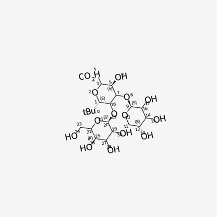 CC(C)(C)[C@@H]1OC(C(=O)O)[C@@H](O)C(O[C@@H]2OC[C@@H](O)C(O)C2O)C1O[C@@H]1OC(CO)[C@H](O)C(O)C1O